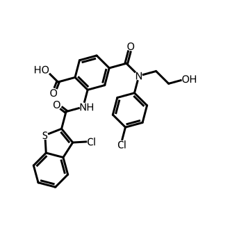 O=C(O)c1ccc(C(=O)N(CCO)c2ccc(Cl)cc2)cc1NC(=O)c1sc2ccccc2c1Cl